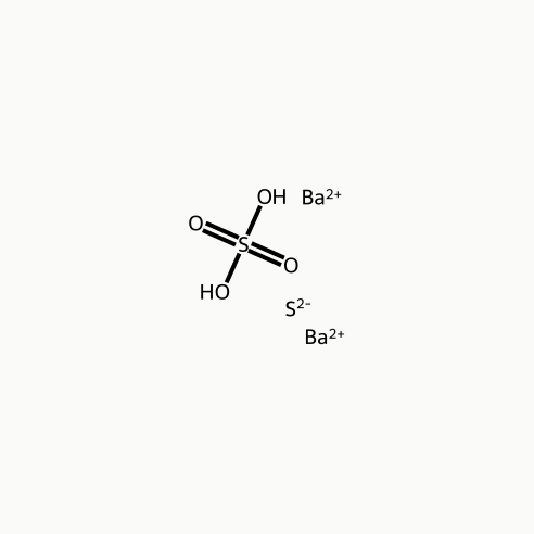 O=S(=O)(O)O.[Ba+2].[Ba+2].[S-2]